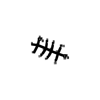 CC(C)(C(F)(F)F)C(F)(F)C(F)(F)C(F)(F)C(F)(F)F